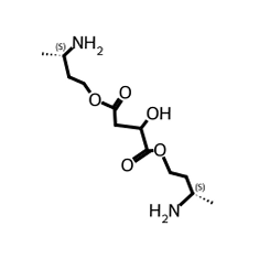 C[C@H](N)CCOC(=O)CC(O)C(=O)OCC[C@H](C)N